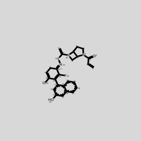 C=CC(=O)N1CCC2C1CN2C(=C)S/N=C1\CC=C(Cl)C(c2cc(O)cc3ccccc23)=C1F